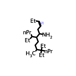 CC/C=C\CC(N)C(CCC(C)C(CC)(CC)CCC)C(CC)CCC